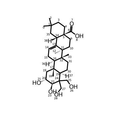 CC1(C)CC[C@]2(C(=O)O)CC[C@]3(C)C(=CC[C@@H]4[C@@]5(C)C[C@@H](O)[C@H](O)C(CO)(CO)[C@@H]5CC[C@]43C)[C@@H]2C1